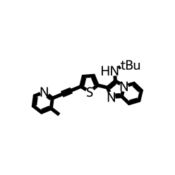 Cc1cccnc1C#Cc1ccc(-c2nc3ccccn3c2NC(C)(C)C)s1